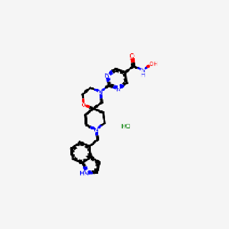 Cl.O=C(NO)c1cnc(N2CCOC3(CCN(Cc4cccc5[nH]ccc45)CC3)C2)nc1